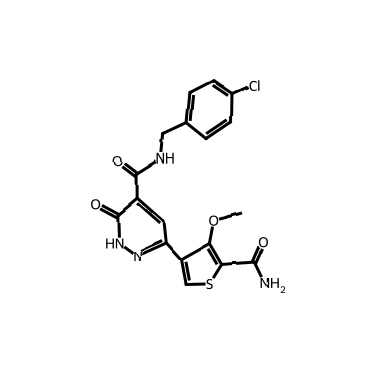 COc1c(-c2cc(C(=O)NCc3ccc(Cl)cc3)c(=O)[nH]n2)csc1C(N)=O